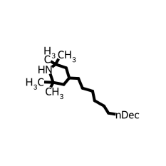 CCCCCCCCCCCCCCCCC1CC(C)(C)NC(C)(C)C1